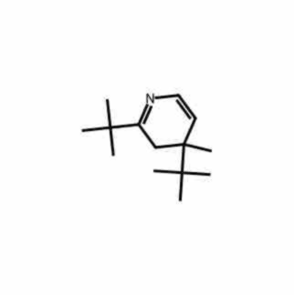 CC(C)(C)C1=NC=CC(C)(C(C)(C)C)C1